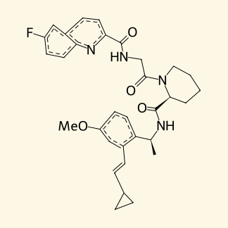 COc1ccc([C@H](C)NC(=O)[C@@H]2CCCCN2C(=O)CNC(=O)c2ccc3cc(F)ccc3n2)c(/C=C/C2CC2)c1